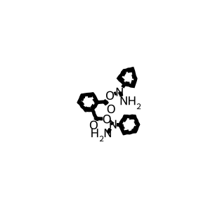 NN(OC(=O)c1ccccc1C(=O)ON(N)c1ccccc1)c1ccccc1